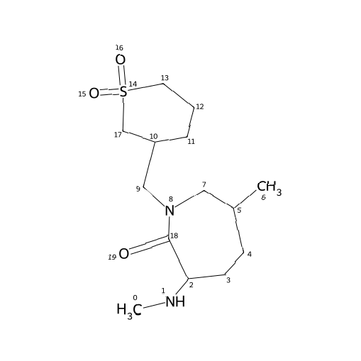 CNC1CCC(C)CN(CC2CCCS(=O)(=O)C2)C1=O